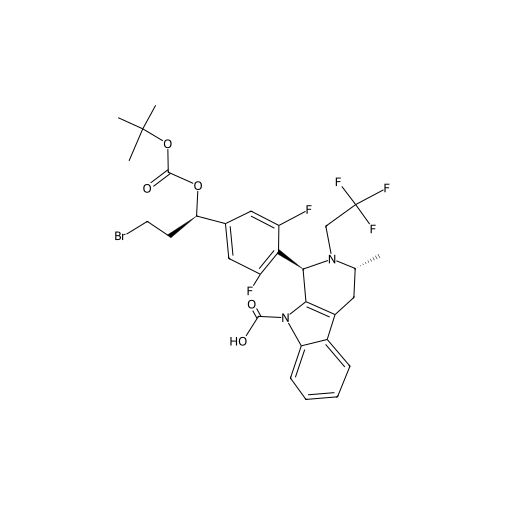 C[C@@H]1Cc2c(n(C(=O)O)c3ccccc23)[C@@H](c2c(F)cc([C@@H](CCBr)OC(=O)OC(C)(C)C)cc2F)N1CC(F)(F)F